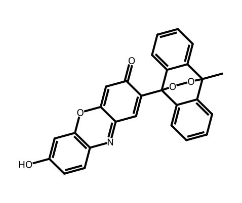 CC12OOC(c3cc4nc5ccc(O)cc5oc-4cc3=O)(c3ccccc31)c1ccccc12